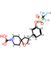 O=C(O)N1CCC2(CC1)C[C@@H](c1cccc(OS(=O)(=O)C(F)(F)F)c1)CO2